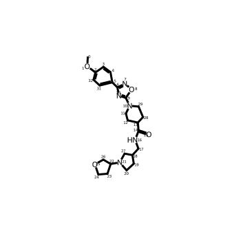 COc1ccc(-c2noc(N3CCC(C(=O)NCC4CCN(C5CCOC5)C4)CC3)n2)cc1